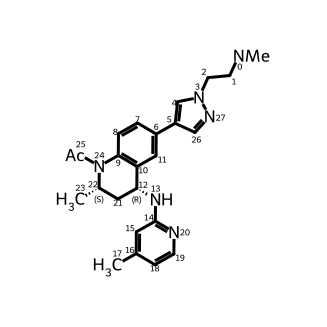 CNCCn1cc(-c2ccc3c(c2)[C@H](Nc2cc(C)ccn2)C[C@H](C)N3C(C)=O)cn1